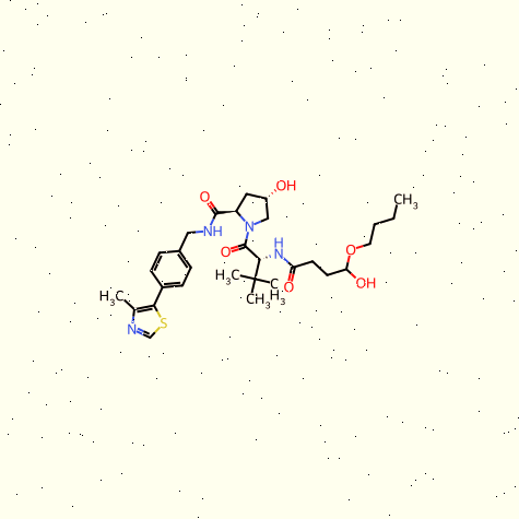 CCCCOC(O)CCC(=O)N[C@@H](C(=O)N1C[C@@H](O)C[C@@H]1C(=O)NCc1ccc(-c2scnc2C)cc1)C(C)(C)C